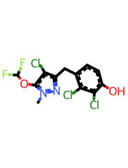 Cn1nc(Cc2ccc(O)c(Cl)c2Cl)c(Cl)c1OC(F)F